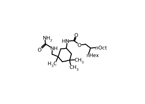 CCCCCCCCC(CCCCCC)COC(=O)NC1CC(C)(C)CC(C)(CNC(N)=O)C1